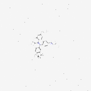 O=C(O)/C=C/c1ccc(/C(=C(\c2ccc(CO)cc2F)C2CCC2)c2ccc3[nH]nc(F)c3c2)cc1